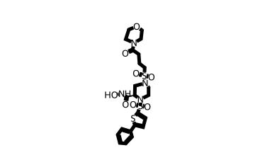 O=C(NO)[C@H]1CN(S(=O)(=O)CCCC(=O)N2CCOCC2)CCN1S(=O)(=O)c1ccc(-c2ccccc2)s1